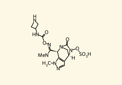 CN/C(=N\OC(=O)NC1CNC1)[C@@H]1c2c(cnn2C)[C@H]2CN1C(=O)N2OS(=O)(=O)O